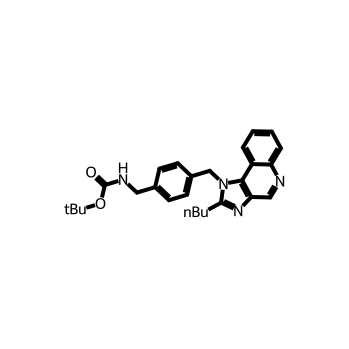 CCCCc1nc2cnc3ccccc3c2n1Cc1ccc(CNC(=O)OC(C)(C)C)cc1